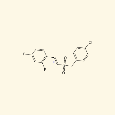 O=S(=O)(/C=C/c1ccc(F)cc1F)Cc1ccc(Cl)cc1